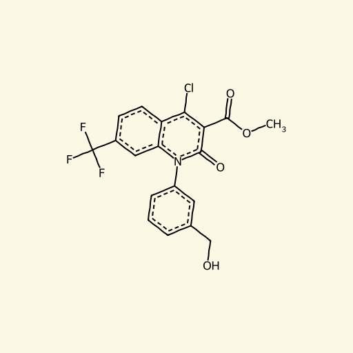 COC(=O)c1c(Cl)c2ccc(C(F)(F)F)cc2n(-c2cccc(CO)c2)c1=O